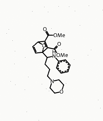 COC(=O)C1=C(C(=O)OC)C2(C(CCCN3CCOCC3)Nc3ccccc3)C=CC1O2